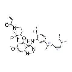 C=CC(=O)N1CCC(Oc2cc(OC)cc3ncnc(Nc4cc(/C(C)=C/C=C\C(C)CC)ccc4OC)c23)C(F)(F)C1